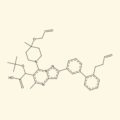 C=CCCc1ccccc1-c1cccc(-c2cc3nc(C)c(C(OC(C)(C)C)C(=O)O)c(N4CCC(C)(OCC=C)CC4)n3n2)c1